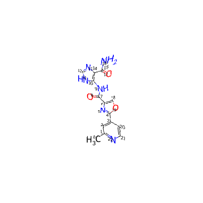 Cc1cc(-c2nc(C(=O)Nc3[nH]cnc3C(N)=O)co2)ccn1